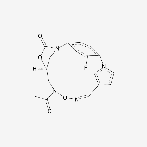 CC(=O)N1C[C@@H]2CN(C(=O)O2)c2ccc(c(F)c2)-n2ccc(c2)C=NO1